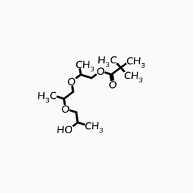 CC(O)COC(C)COC(C)COC(=O)C(C)(C)C